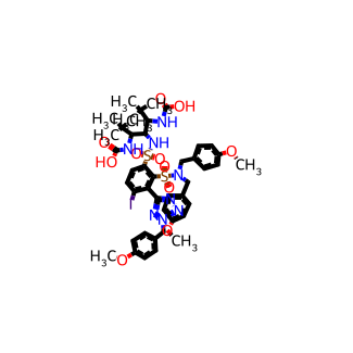 COc1ccc(CN(Cc2ccc(OC)cc2)S(=O)(=O)c2c(S(=O)(=O)NC(C(NC(=O)O)C(C)(C)C)C(NC(=O)O)C(C)(C)C)ccc(I)c2-c2nnn(Cc3ccc(OC)cc3)n2)cc1